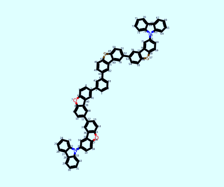 c1cc(-c2ccc3oc4ccc(-c5ccc6oc7ccc(-n8c9ccccc9c9ccccc98)cc7c6c5)cc4c3c2)cc(-c2ccc3sc4ccc(-c5ccc6sc7ccc(-n8c9ccccc9c9ccccc98)cc7c6c5)cc4c3c2)c1